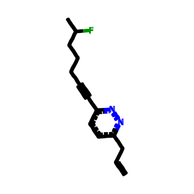 C=CCc1ccc(C#CCCCC(C)F)nn1